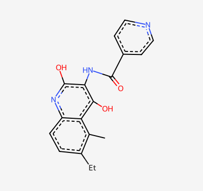 CCc1ccc2nc(O)c(NC(=O)c3ccncc3)c(O)c2c1C